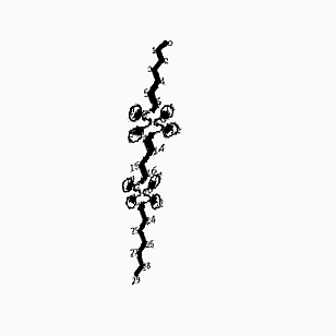 CCCCCCCS(=O)(=O)S(=O)(=O)CCCCS(=O)(=O)S(=O)(=O)CCCCCCC